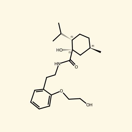 CC(C)[C@@H]1CC[C@@H](C)C[C@@]1(O)C(=O)NCCc1ccccc1OCCO